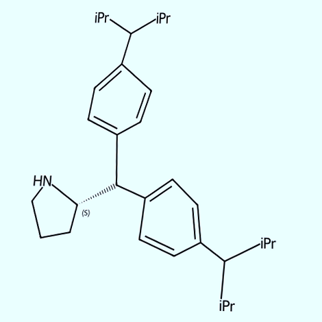 CC(C)C(c1ccc(C(c2ccc(C(C(C)C)C(C)C)cc2)[C@@H]2CCCN2)cc1)C(C)C